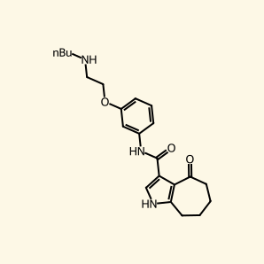 CCCCNCCOc1cccc(NC(=O)c2c[nH]c3c2C(=O)CCCC3)c1